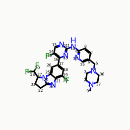 CN1CCN(Cc2ccc(Nc3ncc(F)c(-c4cc(F)c5nc6n(c5c4)C(C(F)F)CC6)n3)nc2)CC1